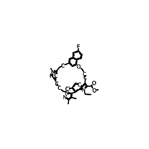 CCn1c(C(=O)OC)c2c3ccc(Cl)c(c31)-c1c(C)c(C)nn1CCCc1cc(n(C)n1)CCc1cc(c3ccc(F)cc3c1)OCCC2